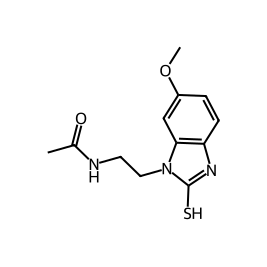 COc1ccc2nc(S)n(CCNC(C)=O)c2c1